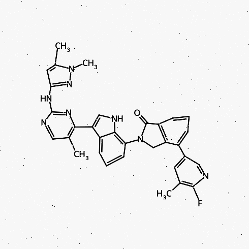 Cc1cc(-c2cccc3c2CN(c2cccc4c(-c5nc(Nc6cc(C)n(C)n6)ncc5C)c[nH]c24)C3=O)cnc1F